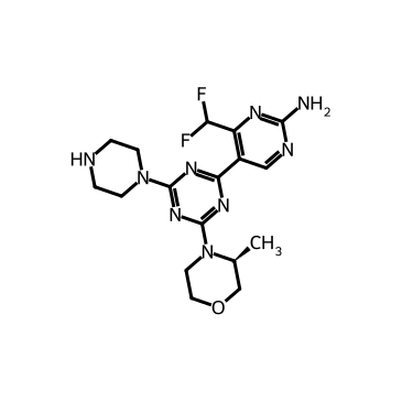 C[C@H]1COCCN1c1nc(-c2cnc(N)nc2C(F)F)nc(N2CCNCC2)n1